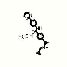 Cl.Cl.O=C(Nc1ccc(-c2ncccn2)cc1)c1ccc(C2CC2NCC2CC2)cc1